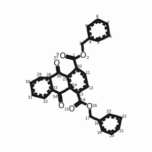 O=C(OCc1ccccc1)c1ccc(C(=O)OCc2ccccc2)c2c1C(=O)c1ccccc1C2=O